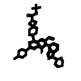 C=Cc1cc2c(N3CCC4(CC3)CN(C(=O)OC(C)(C)C)C4)nc(C3CCN(C)CC3)nc2c(F)c1-c1cccc2c1cnn2C1CCCCO1